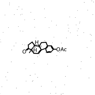 CC(=O)Oc1ccc2c(c1)CC[C@@H]1C2=CC[C@]2(C)C(=O)CC[C@@H]12